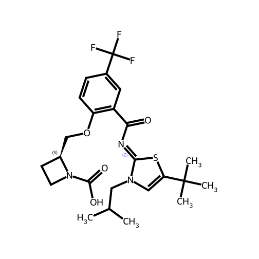 CC(C)Cn1cc(C(C)(C)C)s/c1=N\C(=O)c1cc(C(F)(F)F)ccc1OC[C@@H]1CCN1C(=O)O